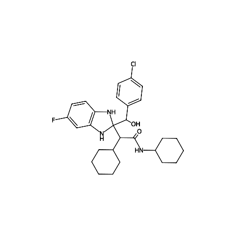 O=C(NC1CCCCC1)C(C1CCCCC1)C1(C(O)c2ccc(Cl)cc2)Nc2ccc(F)cc2N1